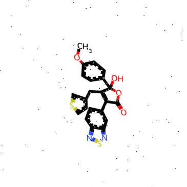 COc1ccc(C2(O)OC(=O)C(c3ccc4nsnc4c3)=C2Cc2ccsc2)cc1